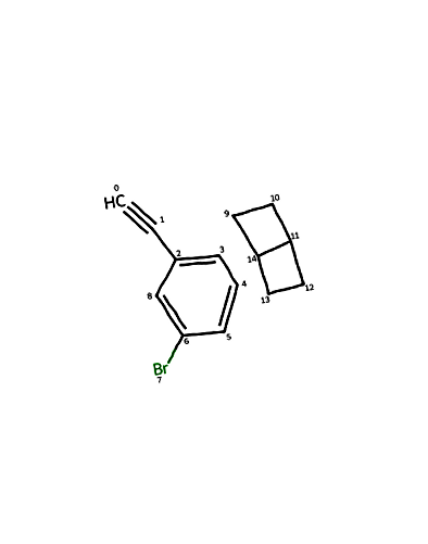 C#Cc1cccc(Br)c1.C1CC2CCC12